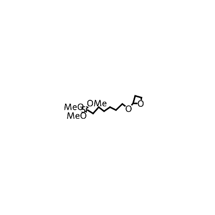 CO[Si](CCCCCCOC1CCO1)(OC)OC